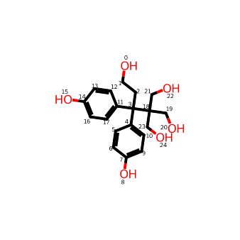 OCCC(c1ccc(O)cc1)(c1ccc(O)cc1)C(CO)(CO)CO